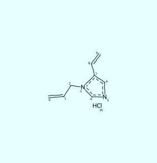 C=CCn1cncc1C=C.Cl